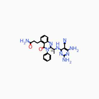 C[C@H](Nc1nc(N)nc(N)c1C#N)c1nc2cccc(CCC(N)=O)c2c(=O)n1-c1ccccc1